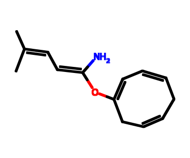 CC(C)=C/C=C(\N)O/C1=C/C=CC/C=C\C1